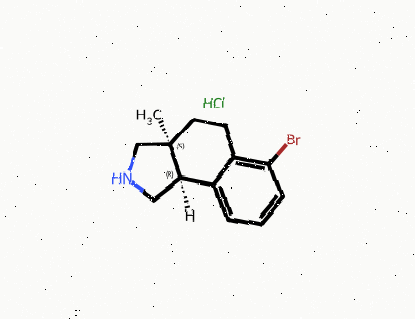 C[C@]12CCc3c(Br)cccc3[C@H]1CNC2.Cl